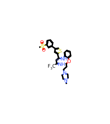 CN1CCN(CCCOc2ccccc2N/C(=C\C(=N)C(F)(F)F)c2cc(-c3cccc(S(C)(=O)=O)c3)cs2)CC1